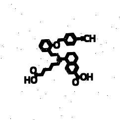 C#Cc1ccc(COc2ccccc2CC[C@H](CCCCCC(=O)O)C2CCCc3cc(C(=O)O)ccc32)cc1